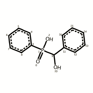 O=P(O)(c1ccccc1)C(O)c1ccccc1